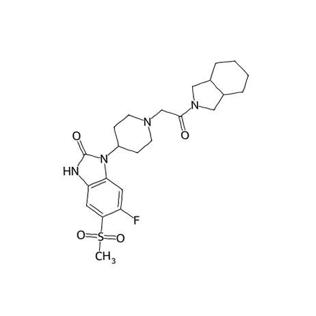 CS(=O)(=O)c1cc2[nH]c(=O)n(C3CCN(CC(=O)N4CC5CCCCC5C4)CC3)c2cc1F